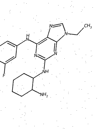 CCn1cnc2c(Nc3cccc(F)c3)nc(NC3CCCCC3N)nc21